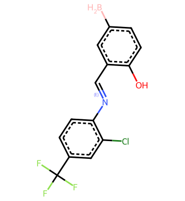 Bc1ccc(O)c(/C=N/c2ccc(C(F)(F)F)cc2Cl)c1